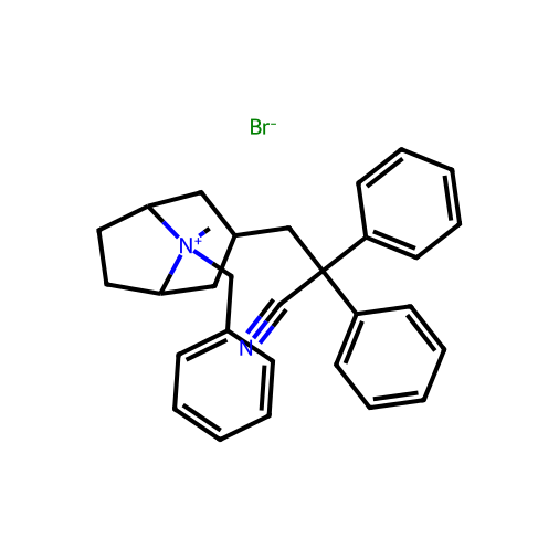 C[N+]1(Cc2ccccc2)C2CCC1CC(CC(C#N)(c1ccccc1)c1ccccc1)C2.[Br-]